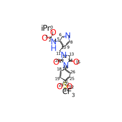 CC(C)OC(=O)Nc1cnccc1CN1CC(=O)N(c2ccc(S(=O)(=O)C(F)(F)F)cc2)C1=O